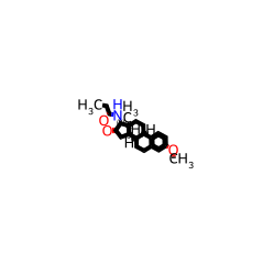 CCC(=O)N[C@H]1C(=O)C[C@H]2[C@@H]3CCc4cc(OC)ccc4[C@H]3CC[C@]12C